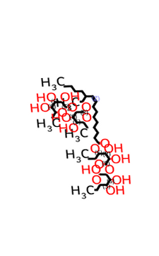 CCCCCC(/C=C\CCCCCCCC(=O)O[C@@H]1C(CC)O[C@@H](OC2C(O)OC(CC)[C@@H](O)[C@@H]2O)C(O)[C@H]1O)C(C)O[C@@H]1OC(CC)[C@@H](O)[C@H](O)C1O[C@@H]1OC(CC)[C@@H](O)[C@H](O)C1O